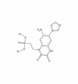 CCOP(=O)(CCn1c(=O)c(=O)[nH]c2cc(-n3ccnc3)c([N+](=O)[O-])cc21)OCC